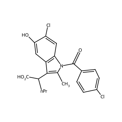 CCCC(C(=O)O)c1c(C)n(C(=O)c2ccc(Cl)cc2)c2cc(Cl)c(O)cc12